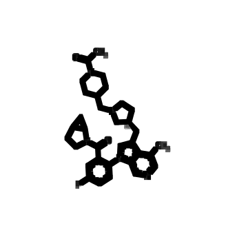 CC(=O)N1CCC(CN2CC[C@@H](Cc3cn(-c4ccc(F)cc4C(=O)N4CCC5CC54)c4cncc(C)c34)C2)CC1